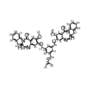 COc1cc2c(cc1OCc1cc(COc3cc4c(cc3OC)C(=O)N3c5ccccc5C[C@H]3C=N4)cc(CSC(C)C)c1)N=C[C@@H]1Cc3ccccc3N1C2=O